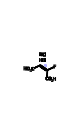 Cl.Cl.O=C(O)/C=C(/F)C(=O)O